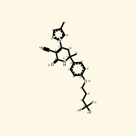 Cc1cnn(C2=C(C#N)C(=O)NC(C)(c3ccc(OCCCC(F)(F)F)cc3)C2)c1